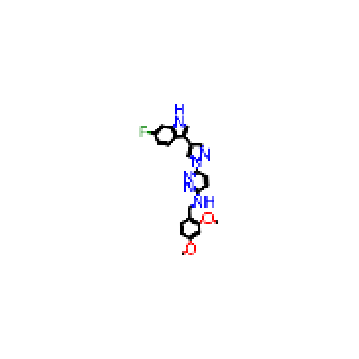 COc1ccc(CNc2ccc(-n3cc(-c4c[nH]c5cc(F)ccc45)cn3)nn2)c(OC)c1